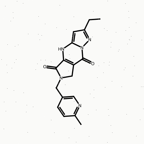 CCc1cc2[nH]c3c(c(=O)n2n1)CN(Cc1ccc(C)nc1)C3=O